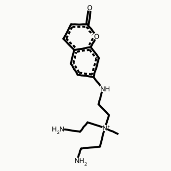 C[N+](CCN)(CCN)CCNc1ccc2ccc(=O)oc2c1